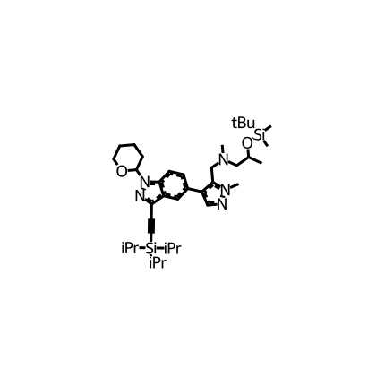 CC(CN(C)Cc1c(-c2ccc3c(c2)c(C#C[Si](C(C)C)(C(C)C)C(C)C)nn3C2CCCCO2)cnn1C)O[Si](C)(C)C(C)(C)C